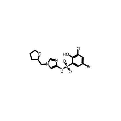 O=S(=O)(Nc1cn(CC2CCCO2)cn1)c1cc(Br)cc(Cl)c1O